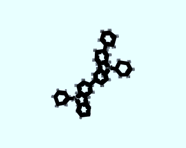 C1=CC(n2c3ccccc3c3cc(-c4ccc5c(c4)c4ccc(-c6ccccc6)cc4n5C4CC=CCC4)ccc32)=CCC1